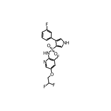 O=S(=O)(Nc1ncc(OCC(F)F)cc1F)c1c[nH]cc1-c1cccc(F)c1